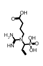 C=CC(N(CCCC(=O)O)C(=N)N)P(=O)(O)O